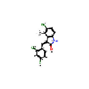 Cc1c(Br)ccc2c1C(=Cc1ccc(F)cc1Cl)C(=O)N2